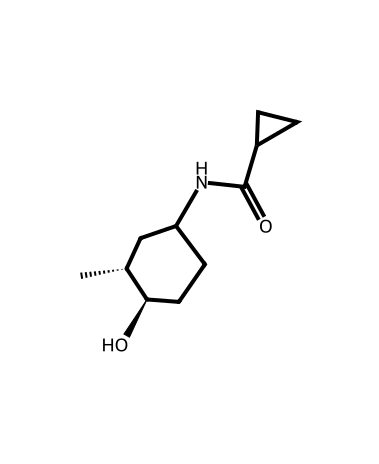 C[C@@H]1CC(NC(=O)C2CC2)CC[C@H]1O